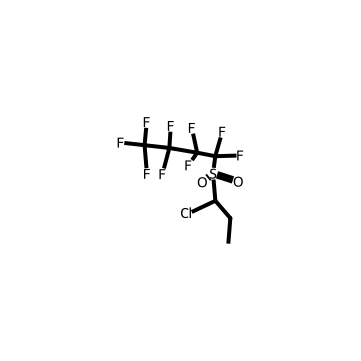 CCC(Cl)S(=O)(=O)C(F)(F)C(F)(F)C(F)(F)C(F)(F)F